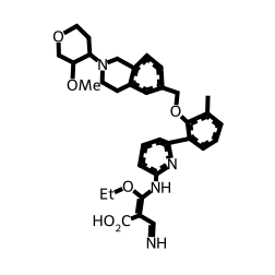 CCO/C(Nc1cccc(-c2cccc(C)c2OCc2ccc3c(c2)CCN(C2CCOCC2OC)C3)n1)=C(/C=N)C(=O)O